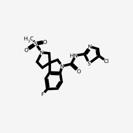 CS(=O)(=O)N1CCC2(CN(C(=O)Nc3ncc(Cl)s3)c3ccc(F)cc32)C1